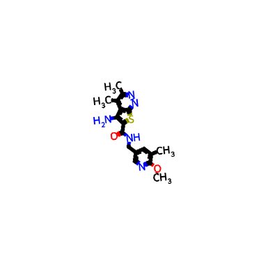 COc1ncc(CNC(=O)c2sc3nnc(C)c(C)c3c2N)cc1C